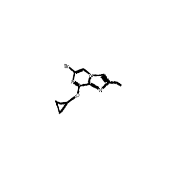 Cc1cn2cc(Br)nc(OC3CC3)c2n1